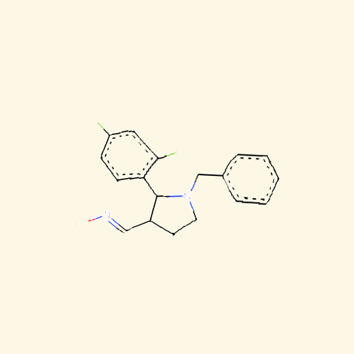 ON=CC1CCN(Cc2ccccc2)C1c1ccc(F)cc1F